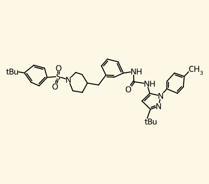 Cc1ccc(-n2nc(C(C)(C)C)cc2NC(=O)Nc2cccc(CC3CCN(S(=O)(=O)c4ccc(C(C)(C)C)cc4)CC3)c2)cc1